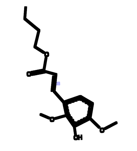 CCCCOC(=O)/C=C/c1ccc(OC)c(O)c1OC